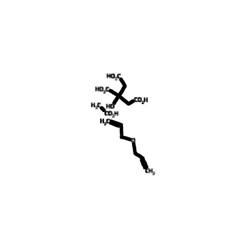 C=CCOCC=C.CC(=O)O.O=C(O)CC(O)(CC(=O)O)C(=O)O